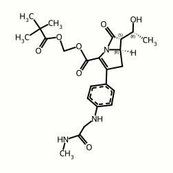 CNC(=O)CNc1ccc(C2=C(C(=O)OCOC(=O)C(C)(C)C)N3C(=O)[C@H]([C@@H](C)O)[C@H]3C2)cc1